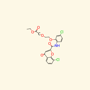 CCOC(=O)COCCOc1cc(Cl)ccc1NC(=O)c1cc(=O)c2cccc(Cl)c2o1